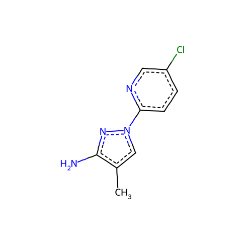 Cc1cn(-c2ccc(Cl)cn2)nc1N